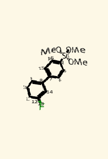 CO[Si](OC)(OC)c1ccc(-c2cccc(F)c2)cc1